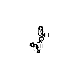 O=C(Cc1ccccn1)NC1CCN(CC[C@H](NC(=O)C2CCC2)c2ccccc2)CC1